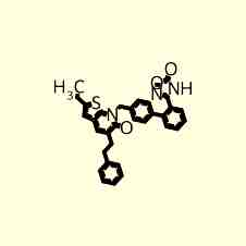 CCc1cc2cc(CCc3ccccc3)c(=O)n(Cc3ccc(-c4ccccc4-c4noc(=O)[nH]4)cc3)c2s1